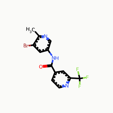 Cc1ncc(NC(=O)c2ccnc(C(F)(F)F)c2)cc1Br